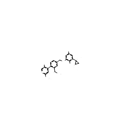 CCC[C@@]1(c2cc(F)cc(OCc3ccc(-c4cc(OC)ncc4F)c([C@H](OC)C(C)(C)C)c3)c2F)C[C@H]1C(=O)O